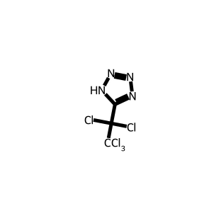 ClC(Cl)(Cl)C(Cl)(Cl)c1nnn[nH]1